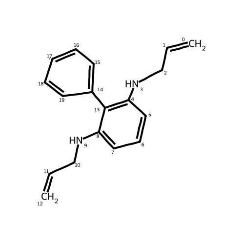 C=CCNc1cccc(NCC=C)c1-c1cc[c]cc1